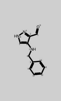 O=Cc1n[nH]cc1NCc1ccccc1